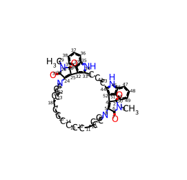 CN1C(=O)C2=C(C1=O)N1CCC(CCCCCCC3CCN(CC3)C3=C(C(=O)N(C)C3=O)c3c([nH]c4ccccc34)CCCc3[nH]c4ccccc4c32)CC1